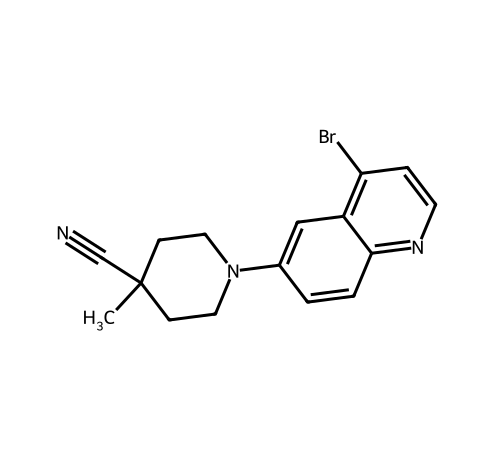 CC1(C#N)CCN(c2ccc3nccc(Br)c3c2)CC1